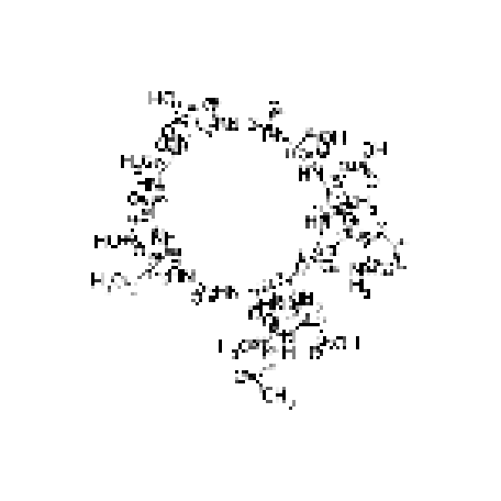 CCCCC1NC(=O)CNC(=O)C(NC(=O)C(CC(=O)O)NC(=O)[C@@H](C)CC(C)=O)C(C)OC(=O)C(CC(=O)c2ccccc2N)NC(=O)C(C(C)CC(=O)O)NC(=O)C(CO)NC(=O)CNC(=O)C(CC(=O)O)NC(=O)C(C)NC(=O)C(CC(=O)O)NC1=O